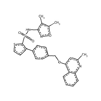 Cc1cc(OCc2ccc(-c3ccsc3S(=O)(=O)Nc3noc(C)c3C)cc2)c2ccccc2n1